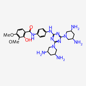 COc1ccc(C(=O)Nc2ccc(Nc3nc(N4C[C@H](N)C[C@H](N)C4)nc(N4C[C@H](N)C[C@H](N)C4)n3)cc2)c(O)c1OC